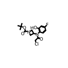 CC(C)(C)OC(=O)N1CC(N(C(=O)CCl)c2ccc(F)cc2O)C1